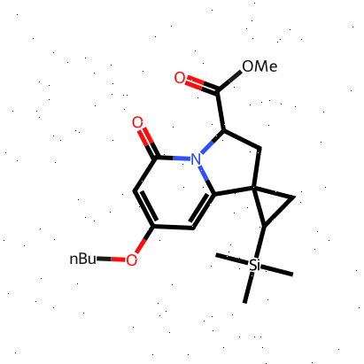 CCCCOc1cc2n(c(=O)c1)C(C(=O)OC)CC21CC1[Si](C)(C)C